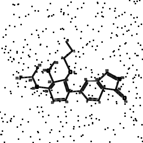 CCCOc1c(-c2ccc3c(c2)C=NC3=O)ccc(OC(F)F)c1OC